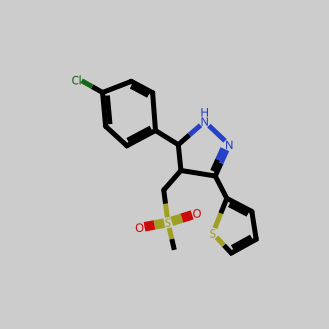 CS(=O)(=O)CC1C(c2cccs2)=NNC1c1ccc(Cl)cc1